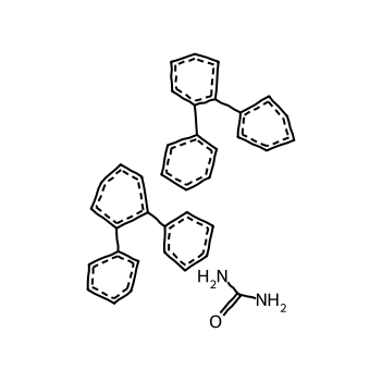 NC(N)=O.c1ccc(-c2ccccc2-c2ccccc2)cc1.c1ccc(-c2ccccc2-c2ccccc2)cc1